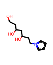 OCCC(O)CC(O)CCn1cccc1